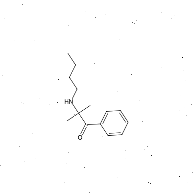 CCCCNC(C)(C)C(=O)c1ccccc1